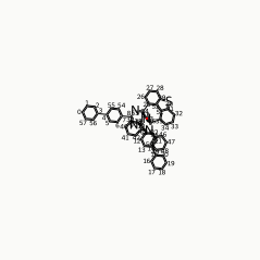 c1ccc(-c2ccc(-c3nc(-c4ccc(-c5ccccc5)cc4)nc(-c4cccc5sc6cccc(-c7nc8ccccc8n7-c7ccccc7)c6c45)n3)cc2)cc1